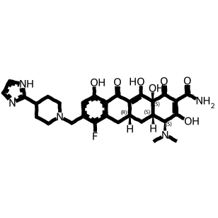 CN(C)[C@@H]1C(O)=C(C(N)=O)C(=O)[C@@]2(O)C(O)=C3C(=O)c4c(O)cc(CN5CCC(c6ncc[nH]6)CC5)c(F)c4C[C@H]3C[C@@H]12